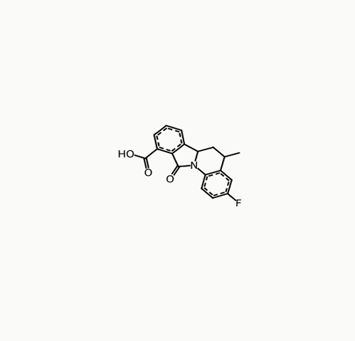 CC1CC2c3cccc(C(=O)O)c3C(=O)N2c2ccc(F)cc21